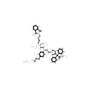 C[N+](C)(CCCCN1C(=O)c2ccccc2C1=O)CCN(CCN1CCC(C(C(N)=O)(c2ccccc2)c2ccccc2)C1)c1ccc(CCCC(=O)O)cc1